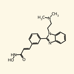 CN(C)CCn1c(-c2cccc(C=CC(=O)NO)c2)nc2ccccc21